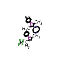 C1=C\CC/C=C\CC/1.C[C@@H]1C[C@@H](C)P1c1ccccc1.C[C@@H]1C[C@@H](C)P1c1ccccc1.F[B-](F)(F)F.[Rh+]